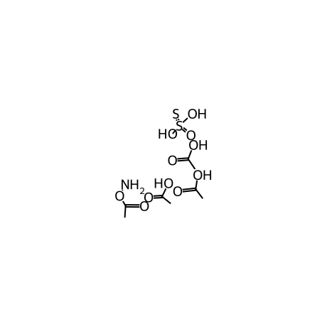 CC(=O)O.CC(=O)O.CC(=O)O.CC(=O)ON.O=S(O)(O)=S